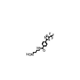 O=C(NCCCC=NO)c1ccc(-c2noc(C(F)(F)F)n2)cc1